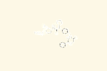 C[C@]1(C(=O)O)CC[C@H](NC(=O)C(c2ccc(CN3N=C(c4ccccc4)OCC3=O)cc2)C2CCCC2)C1